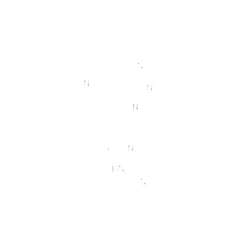 CCCn1cc(C(=O)c2cc(N3CCC(n4c(=O)[nH]c5ncccc54)CC3)ncn2)c2ccccc21